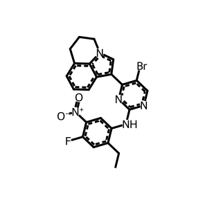 CCc1cc(F)c([N+](=O)[O-])cc1Nc1ncc(Br)c(-c2cn3c4c(cccc24)CCC3)n1